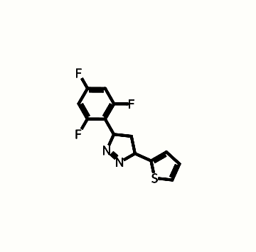 Fc1cc(F)c(C2CC(c3cccs3)N=N2)c(F)c1